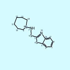 c1ccc2sc(SNN3CCCCCC3)nc2c1